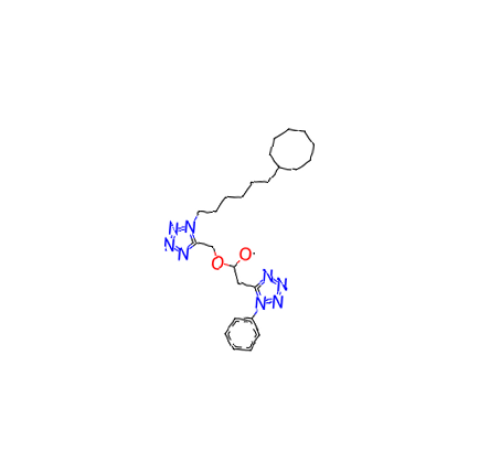 [O]C(Cc1nnnn1-c1ccccc1)OCc1nnnn1CCCCCCC1CCCCCCC1